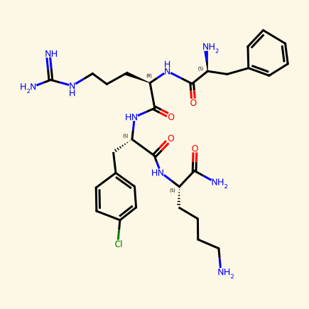 N=C(N)NCCC[C@@H](NC(=O)[C@@H](N)Cc1ccccc1)C(=O)N[C@@H](Cc1ccc(Cl)cc1)C(=O)N[C@@H](CCCCN)C(N)=O